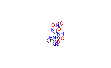 COc1c(Nc2c(NC(c3nn(C)cc3C)C3(C)CCCC3)c(=O)c2=O)ccnc1C(=O)N1CCOCC1